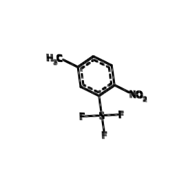 Cc1ccc([N+](=O)[O-])c(S(F)(F)F)c1